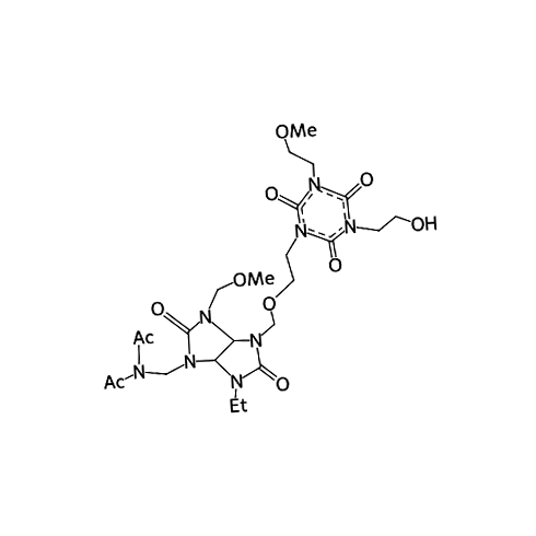 CCN1C(=O)N(COCCn2c(=O)n(CCO)c(=O)n(CCOC)c2=O)C2C1N(CN(C(C)=O)C(C)=O)C(=O)N2COC